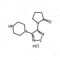 Cl.O=C1CCCN1c1nsnc1N1CCNCC1